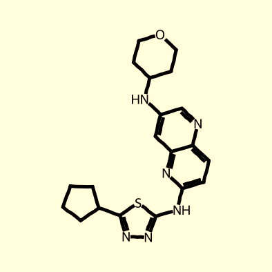 c1nc2ccc(Nc3nnc(C4CCCC4)s3)nc2cc1NC1CCOCC1